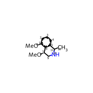 COc1cccc2c1[C@H](OC)CNC2C